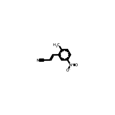 Cc1ccc([N+](=O)[O-])cc1C=CC#N